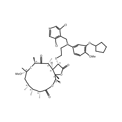 COc1ccc(N(CCS[C@@H]2C(=O)O[C@@]3(C)[C@H]2[C@@H](C)C(=O)[C@H](C)C[C@@](C)(OC)C[C@@H](C)[C@@H](I)[C@@H](C)C(=O)O[C@@H]3I)Cc2c(Cl)cncc2Cl)cc1OC1CCCC1